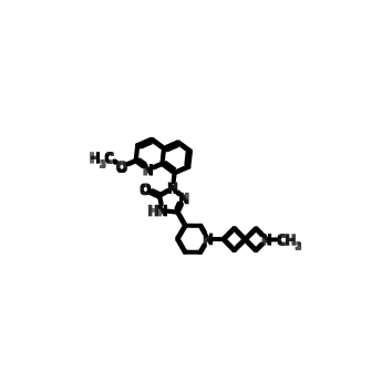 COc1ccc2cccc(-n3nc(C4CCCN(C5CC6(C5)CN(C)C6)C4)[nH]c3=O)c2n1